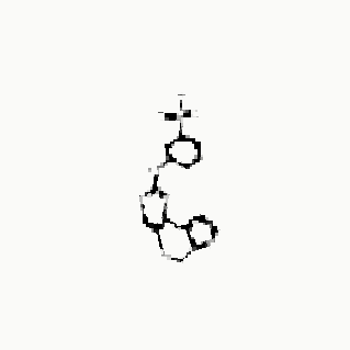 NS(=O)(=O)c1cccc(Nc2ncc3c(n2)-c2ccsc2CS3)c1